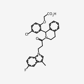 Cc1cn(CCC(=O)N2CCc3ccccc3C2c2cc(Cl)ccc2OCC(=O)O)c2ccc(F)cc12